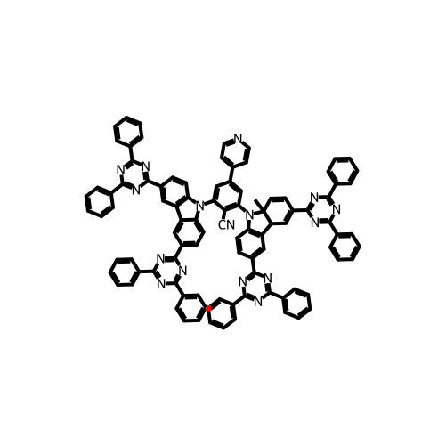 CC12C=CC(c3nc(-c4ccccc4)nc(-c4ccccc4)n3)=CC1c1cc(-c3nc(-c4ccccc4)nc(-c4ccccc4)n3)ccc1N2c1cc(-c2ccncc2)cc(-n2c3ccc(-c4nc(-c5ccccc5)nc(-c5ccccc5)n4)cc3c3cc(-c4nc(-c5ccccc5)nc(-c5ccccc5)n4)ccc32)c1C#N